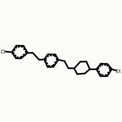 CCc1ccc(C2CCC(CCc3ccc(CCc4ccc(Cl)cc4)cc3)CC2)cc1